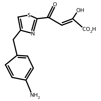 Nc1ccc(Cc2csc(C(=O)/C=C(\O)C(=O)O)n2)cc1